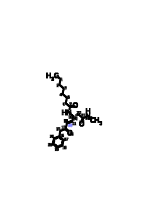 CCCCCCCC(=O)N[C@@H](/C=C/C(=O)Cc1ccccc1)CC(=O)NC